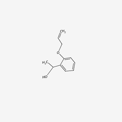 C=CCOc1ccccc1C(C)O